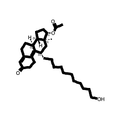 CC(=O)O[C@H]1CC[C@H]2[C@@H]3CCC4=CC(=O)CCC4=C3[C@@H](CCCCCCCCCCCO)C[C@]12C